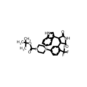 CC(C)(C)OC(=O)N1CCN(c2ccc(C(F)(F)F)c(C3=C(c4c[nH]c5ccccc45)C(=O)NC3=O)c2)CC1